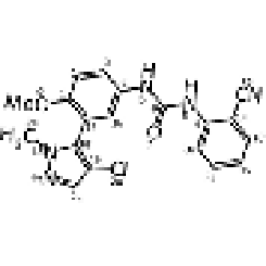 COc1ccc(NC(=O)Nc2ccccc2C#N)cc1-c1c(Cl)cnn1C